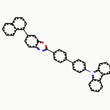 c1ccc2c(-c3ccc4nc(-c5ccc(-c6ccc(-n7c8ccccc8c8ccccc87)cc6)cc5)oc4c3)cccc2c1